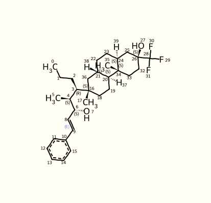 CCC[C@H]([C@H](C)[C@H](O)/C=C/c1ccccc1)[C@@]1(C)CC[C@H]2[C@@H](CC[C@H]3C[C@](O)(C(F)(F)F)CC[C@@]32C)C1